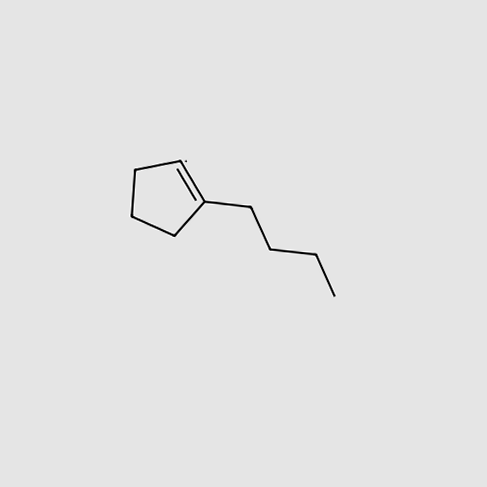 CCCCC1=[C]CCC1